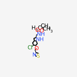 CC(C)(C)OC(=O)NCc1cc2cc(Cl)c(OCc3cscn3)cc2[nH]1